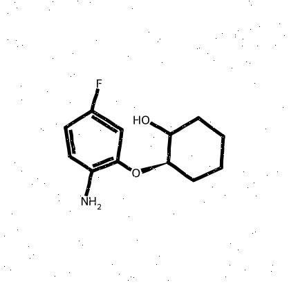 Nc1ccc(F)cc1O[C@@H]1CCCCC1O